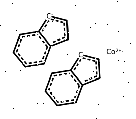 [Co+2].c1ccc2[cH-]ccc2c1.c1ccc2[cH-]ccc2c1